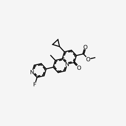 COC(=O)c1cc(C2CC2)c2c(C)c(-c3ccnc(F)c3)ccn2c1=O